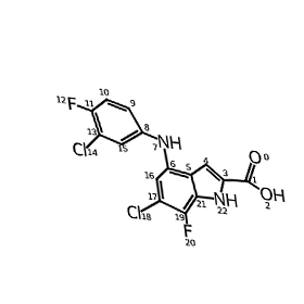 O=C(O)c1cc2c(Nc3ccc(F)c(Cl)c3)cc(Cl)c(F)c2[nH]1